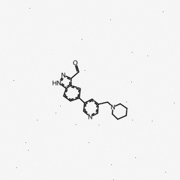 O=Cc1n[nH]c2ccc(-c3cncc(CN4CCCCC4)c3)cc12